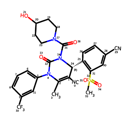 [C-]#[N+]C1=C(C)N(c2cccc(C(F)(F)F)c2)C(=O)N(C(=O)N2CCC(O)CC2)[C@@H]1c1ccc(C#N)cc1S(C)(=O)=O